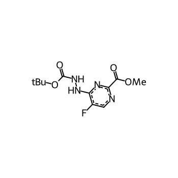 COC(=O)c1ncc(F)c(NNC(=O)OC(C)(C)C)n1